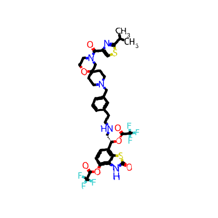 CC(C)c1nc(C(=O)N2CCOC3(CCN(Cc4cccc(CCNC[C@H](OC(=O)C(F)(F)F)c5ccc(OC(=O)C(F)(F)F)c6[nH]c(=O)sc56)c4)CC3)C2)cs1